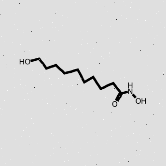 O=C(CCCCCCCCCO)NO